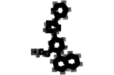 COc1cc(-n2nnc(-c3ccccn3)n2)ccc1-c1cccc2ccccc12